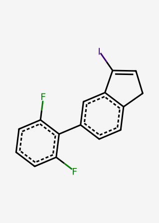 Fc1cccc(F)c1-c1ccc2c(c1)C(I)=CC2